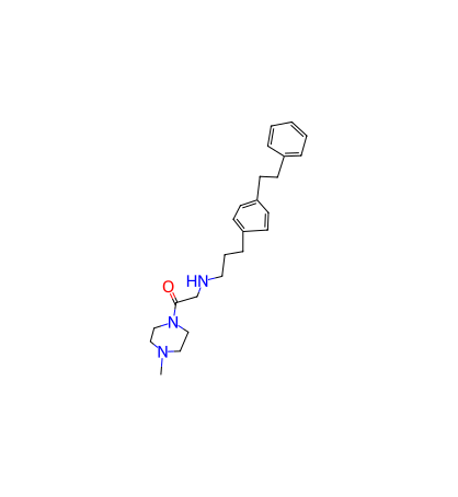 CN1CCN(C(=O)CNCCCc2ccc(CCc3ccccc3)cc2)CC1